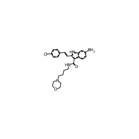 Bc1ccc2c(C(=O)NCCCCN3CCOCC3)c(/C=C/c3ccc(Cl)cc3)[nH]c2c1